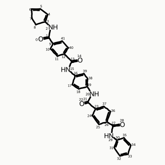 O=C(NC1=CC=CCC1)c1ccc(C(=O)Nc2ccc(NC(=O)c3ccc(C(=O)Nc4ccccc4)cc3)cc2)cc1